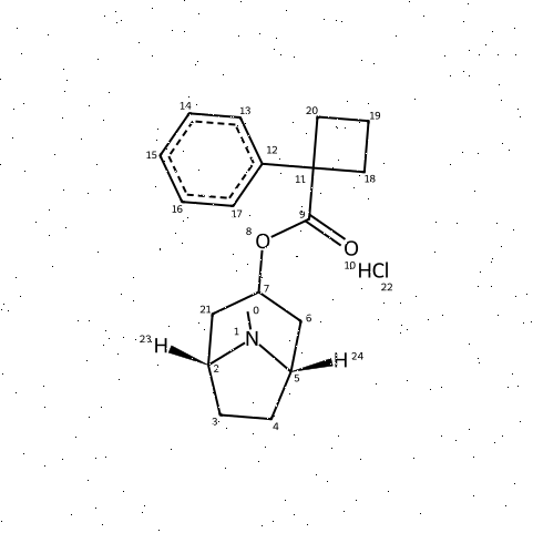 CN1[C@@H]2CC[C@H]1CC(OC(=O)C1(c3ccccc3)CCC1)C2.Cl